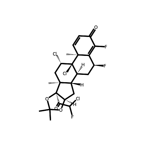 CC1(C)O[C@@H]2C[C@H]3[C@@H]4C[C@H](F)C5=C(F)C(=O)C=C[C@]5(C)[C@@]4(Cl)[C@@H](Cl)C[C@]3(C)[C@]2(C(=O)C(F)Cl)O1